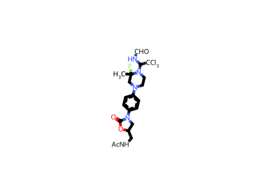 CC(=O)NCC1CN(c2ccc(N3CCN(C(NC=O)C(Cl)(Cl)Cl)C(C)(F)C3)cc2)C(=O)O1